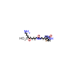 NCCCCC(C(=O)O)C(=O)CCCCCNC(=O)CCCC[C@@H]1SC[C@@H]2NC(=O)N[C@@H]21